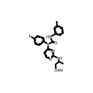 COCC(C)Nc1nccc(N(C(=O)Nc2cccc(C)c2)c2ccc(F)cc2)n1